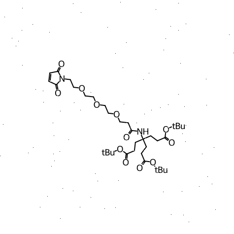 CC(C)(C)OC(=O)CCC(CCC(=O)OC(C)(C)C)(CCC(=O)OC(C)(C)C)NC(=O)CCOCCOCCOCCN1C(=O)C=CC1=O